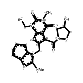 CNc1nc2ccccc2n1Cc1sc2c(c1C(=O)N1CC(O)CO1)c(=O)n(C)c(=O)n2CC(C)C